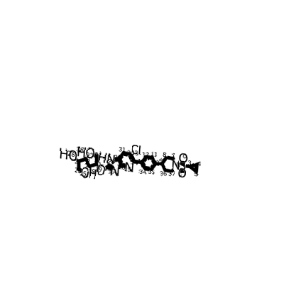 O=S(=O)(C1CC1)N1CCC(c2ccc(-c3nc4nc(O[C@@H]5CO[C@H]6[C@@H]5OC[C@H]6O)[nH]c4cc3Cl)cc2)CC1